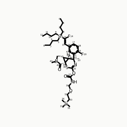 CCC[CH2][Sn]([CH2]CCC)([CH2]CCC)/[C](F)=C/c1ccc(F)c([C@@]2(C)N=C(OC(=O)NCOCC[Si](C)(C)C)S[C@@]3(C(=O)N(C)C)C[C@H]32)c1